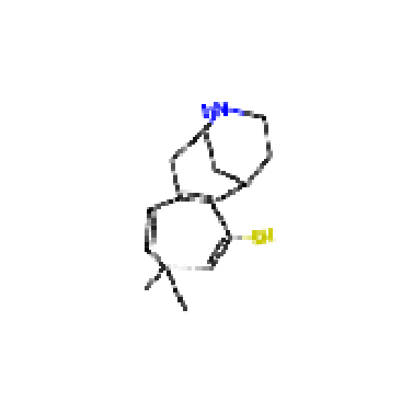 CC1(C)C=CC2=C(C(S)=C1)C1CCNC(C2)C1